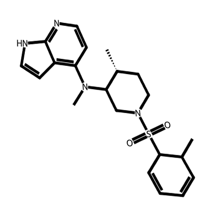 CC1C=CC=CC1S(=O)(=O)N1CC[C@@H](C)C(N(C)c2ccnc3[nH]ccc23)C1